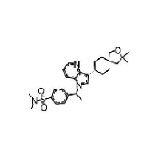 CC(c1ccc(S(=O)(=O)N(C)C)cc1)n1cc([C@H]2CC[C@]3(CC2)COC(C)(C)C3)c2ncccc21